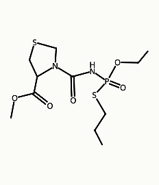 CCCSP(=O)(NC(=O)N1CSCC1C(=O)OC)OCC